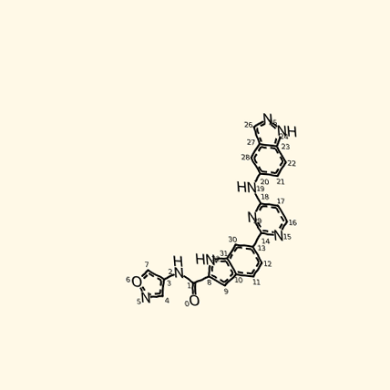 O=C(Nc1cnoc1)c1cc2ccc(-c3nccc(Nc4ccc5[nH]ncc5c4)n3)cc2[nH]1